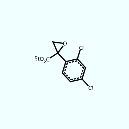 CCOC(=O)C1(c2ccc(Cl)cc2Cl)CO1